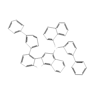 c1ccc(-c2cccc(-c3cccc4oc5c6ccccc6c(N(c6cccc(-c7ccccc7)c6)c6cccc7ccccc67)cc5c34)c2)cc1